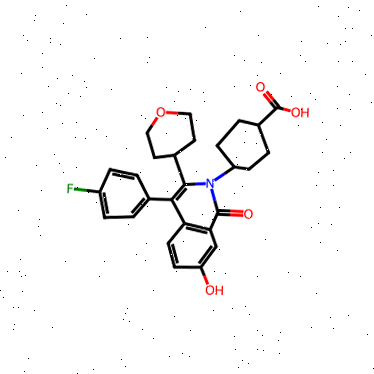 O=C(O)C1CCC(n2c(C3CCOCC3)c(-c3ccc(F)cc3)c3ccc(O)cc3c2=O)CC1